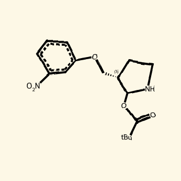 CC(C)(C)C(=O)OC1NCC[C@H]1COc1cccc([N+](=O)[O-])c1